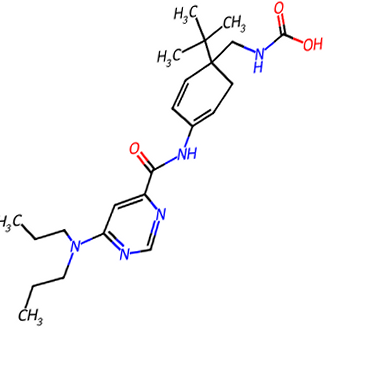 CCCN(CCC)c1cc(C(=O)NC2=CCC(CNC(=O)O)(C(C)(C)C)C=C2)ncn1